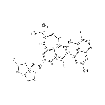 CCc1c(F)ccc2cc(O)cc(-c3nc4c5c(nc(OC[C@@]67CCCN6C[C@H](F)C7)nc5c3F)O[C@@H]([C@@H](C)O)CC4)c12